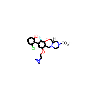 CN(C)CCOc1cc(-c2c(O)cccc2Cl)c(F)c2c1CN1CCN(C(=O)O)C[C@@H]1CO2